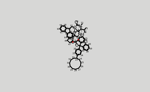 CC(C)C(C(=O)N[C@@H](CC(=O)OC(c1ccccc1)(c1ccc(C2CCCCCCCCCC2)cc1)c1ccccc1Cl)C(=O)N1CCCC1)N(C)C(=O)OCC1c2ccccc2-c2ccccc21